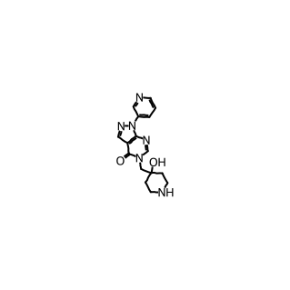 O=c1c2cnn(-c3cccnc3)c2ncn1CC1(O)CCNCC1